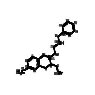 Cc1ccc2c(c1)CC(CC(C)C)N(CCNCc1ccccc1)C2